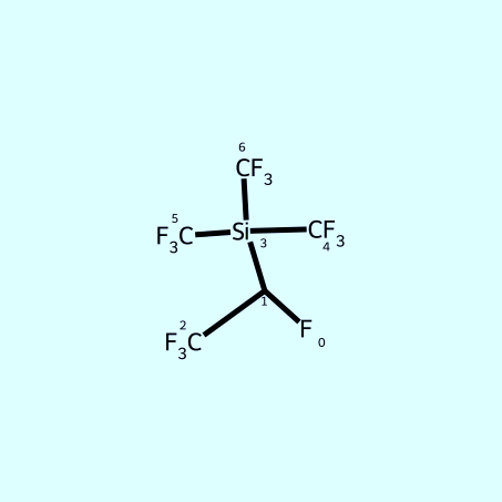 FC(C(F)(F)F)[Si](C(F)(F)F)(C(F)(F)F)C(F)(F)F